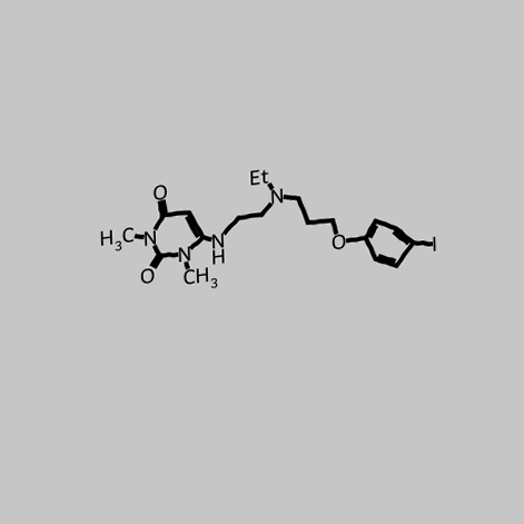 CCN(CCCOc1ccc(I)cc1)CCNc1cc(=O)n(C)c(=O)n1C